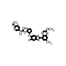 COc1ccc(NC(O)O[C@@H]2CCC[C@@H]2Oc2cc3sc(-c4cc(C)cc5nc(OC)cnc45)nc3cc2F)cn1